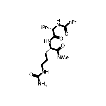 CCCC(=O)N[C@H](C(=O)N[C@@H](CCCNC(N)=O)C(=O)NC)C(C)C